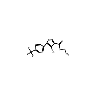 CCOC(=O)c1csc(-c2ccc(C(F)(F)F)cc2)c1O